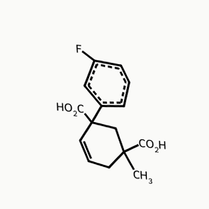 CC1(C(=O)O)CC=CC(C(=O)O)(c2cccc(F)c2)C1